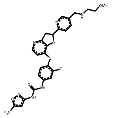 COCCNCc1ccc(C2Cc3nccc(Oc4ccc(NC(=O)Nc5cc(C)on5)cc4F)c3S2)nc1